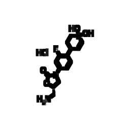 Cl.NC[C@H]1CN(c2ccc(C3C=CS(O)(O)CC3)c(F)c2)C(=O)O1